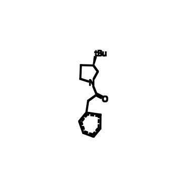 CC(C)(C)[C@@H]1CCN(C(=O)Cc2ccccc2)C1